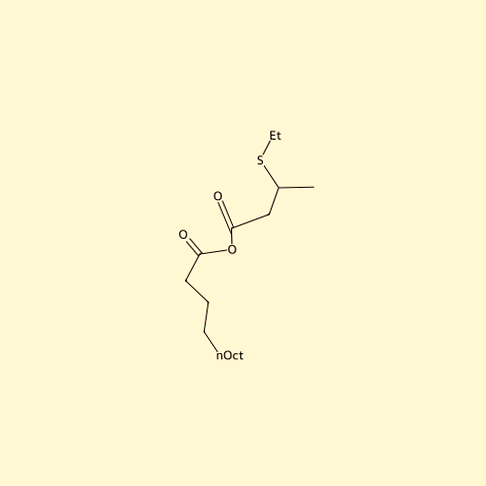 CCCCCCCCCCCC(=O)OC(=O)CC(C)SCC